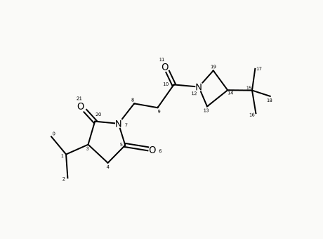 CC(C)C1CC(=O)N(CCC(=O)N2CC(C(C)(C)C)C2)C1=O